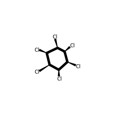 Cl[C@H]1[C@@H](Cl)[C@@H](Cl)[C@@H](Cl)[C@@H](Cl)[C@H]1Cl